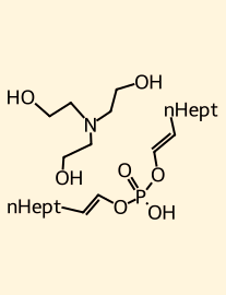 CCCCCCCC=COP(=O)(O)OC=CCCCCCCC.OCCN(CCO)CCO